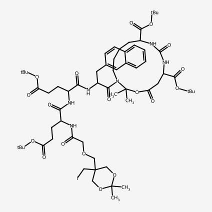 CC(C)(C)OC(=O)CCC(NC(=O)COCC1(CI)COC(C)(C)OC1)C(=O)NC(CCC(=O)OC(C)(C)C)C(=O)NC(Cc1ccc2ccccc2c1)C(=O)N1CCCCC(C(=O)OC(C)(C)C)NC(=O)NC(C(=O)OC(C)(C)C)CC(=O)OC1(C)C